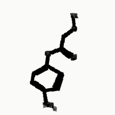 CCOCC(=O)Oc1ccc(N)cc1